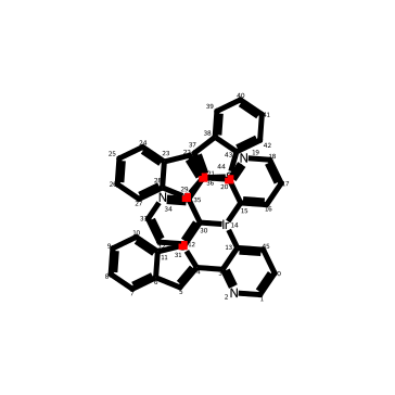 c1cnc(-c2cc3ccccc3s2)[c]([Ir]([c]2cccnc2-c2cc3ccccc3s2)[c]2cccnc2-c2cc3ccccc3s2)c1